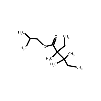 CCC(C)(C)C(C)(CC)C(=O)OCC(C)C